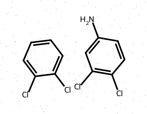 Clc1ccccc1Cl.Nc1ccc(Cl)c(Cl)c1